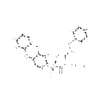 O=C(O)[C@@H](COCc1ccccc1)NS(=O)(=O)c1ccc2c(c1)Cc1ccccc1O2